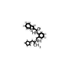 C[C@@H](CC1CCCC1)NCc1ccccc1NC(=O)c1cc2ccccc2s1